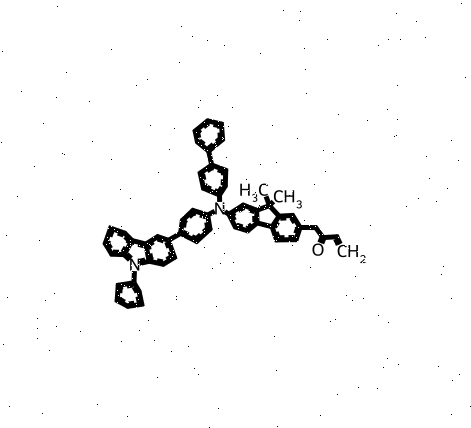 C=CC(=O)Cc1ccc2c(c1)C(C)(C)c1cc(N(c3ccc(-c4ccccc4)cc3)c3ccc(-c4ccc5c(c4)c4ccccc4n5-c4ccccc4)cc3)ccc1-2